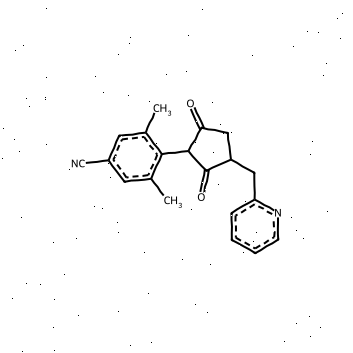 Cc1cc(C#N)cc(C)c1C1C(=O)CC(Cc2ccccn2)C1=O